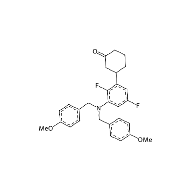 COc1ccc(CN(Cc2ccc(OC)cc2)c2cc(F)cc(C3CCCC(=O)C3)c2F)cc1